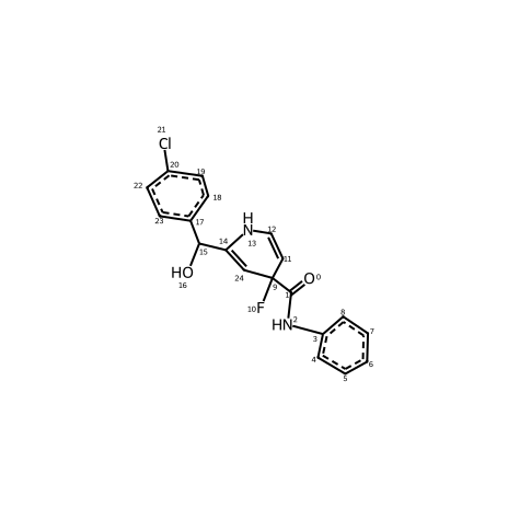 O=C(Nc1ccccc1)C1(F)C=CNC(C(O)c2ccc(Cl)cc2)=C1